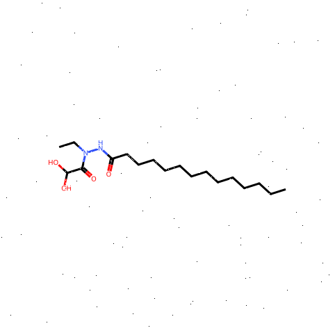 CCCCCCCCCCCCCC(=O)NN(CC)C(=O)C(O)O